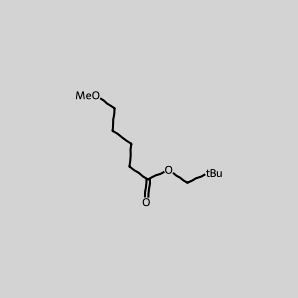 COCCCCC(=O)OCC(C)(C)C